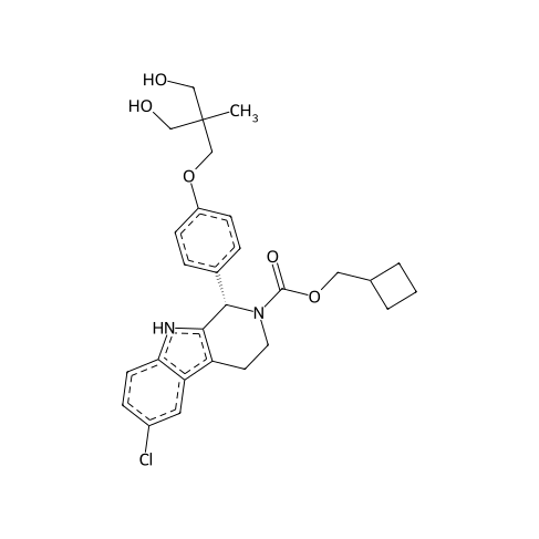 CC(CO)(CO)COc1ccc([C@H]2c3[nH]c4ccc(Cl)cc4c3CCN2C(=O)OCC2CCC2)cc1